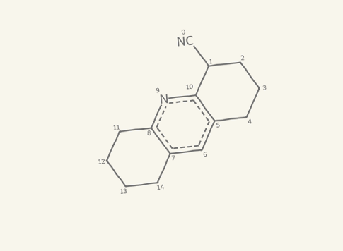 N#CC1CCCc2cc3c(nc21)CCCC3